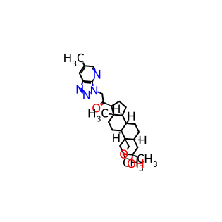 COC[C@]12CC[C@@](C)(O)C[C@@H]1CC[C@H]1[C@@H]3CC[C@H](C(=O)Cn4nnc5cc(C)cnc54)[C@@]3(C)CC[C@@H]12